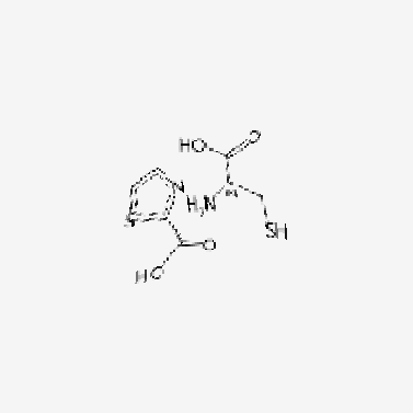 N[C@@H](CS)C(=O)O.O=C(O)c1nccs1